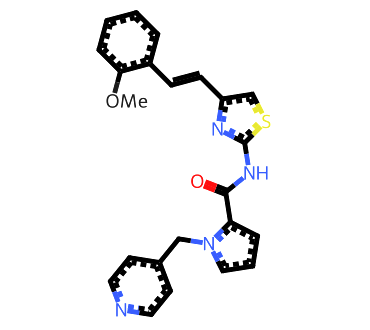 COc1ccccc1C=Cc1csc(NC(=O)c2cccn2Cc2ccncc2)n1